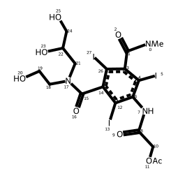 CNC(=O)c1c(I)c(NC(=O)COC(C)=O)c(I)c(C(=O)N(CCO)CC(O)CO)c1I